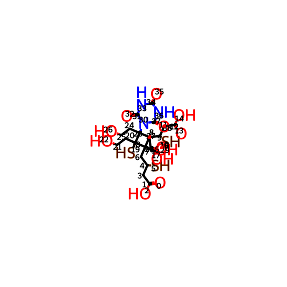 O=C(O)CC(S)CC(CC(S)CC(=O)O)(C(=O)O)C(S)(CCO)C(CCO)(CCO)n1c(=O)[nH]c(=O)[nH]c1=O